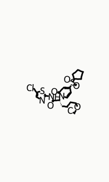 O=C(Nc1ncc(Cl)s1)[C@@H](CC1CCOCC1)n1ccc(S(=O)(=O)C2CCCC2)cc1=O